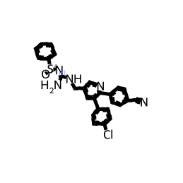 N#Cc1ccc(-c2ncc(CN/C(N)=N/[S+]([O-])c3ccccc3)cc2-c2ccc(Cl)cc2)cc1